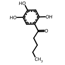 CCCCC(=O)c1cc(O)c(O)cc1O